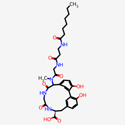 CCCCCCCC(=O)NCCC(=O)NCC(=O)N(C)C1C(=O)NCC(=O)N[C@H](C(=O)O)Cc2ccc(O)c(c2)-c2cc1ccc2O